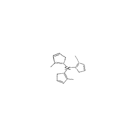 CC1=[C]([Sc]([C]2=C(C)C=CC2)[C]2=C(C)C=CC2)CC=C1